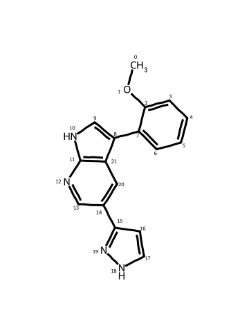 COc1ccccc1-c1c[nH]c2ncc(-c3cc[nH]n3)cc12